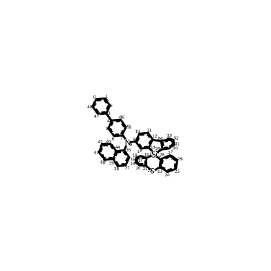 c1ccc(-c2ccc(N(c3ccc4c(c3)[Si]3(c5ccccc5Sc5ccccc53)c3ccccc3-4)c3cccc4ccccc34)cc2)cc1